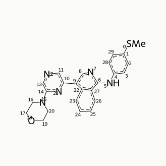 CSc1ccc(Nc2ncc(-c3cncc(N4CCOCC4)n3)c3ccccc23)cc1